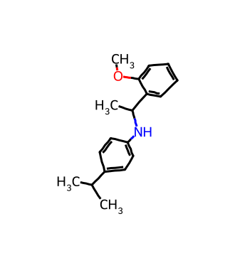 COc1ccccc1C(C)Nc1ccc(C(C)C)cc1